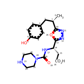 C[C@@H](Cc1ccc(O)cc1)c1nnc([C@H](CC(=O)O)NC(=O)N2CCNCC2)o1